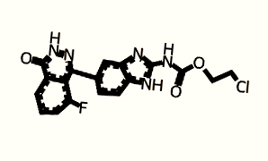 O=C(Nc1nc2cc(-c3n[nH]c(=O)c4cccc(F)c34)ccc2[nH]1)OCCCl